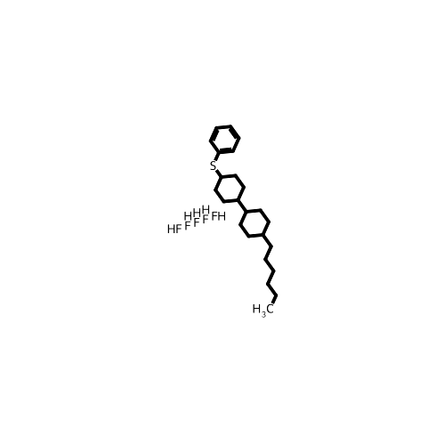 CCCCCCC1CCC(C2CCC(Sc3ccccc3)CC2)CC1.F.F.F.F.F